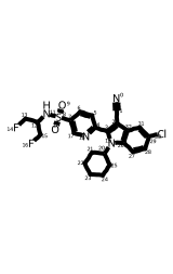 N#Cc1c(-c2ccc(S(=O)(=O)NC(CF)CF)cn2)n(C2CCCCC2)c2ccc(Cl)cc12